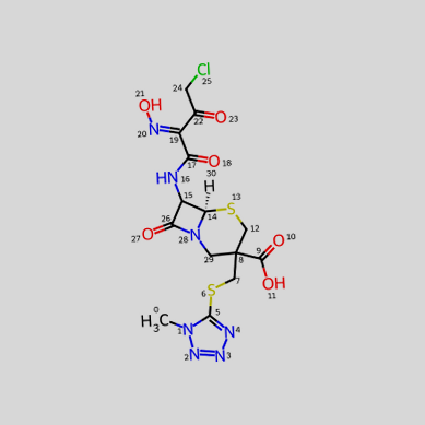 Cn1nnnc1SCC1(C(=O)O)CS[C@@H]2C(NC(=O)C(=NO)C(=O)CCl)C(=O)N2C1